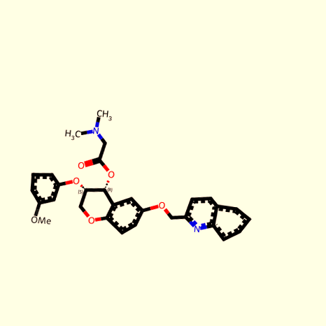 COc1cccc(O[C@H]2COc3ccc(OCc4ccc5ccccc5n4)cc3[C@H]2OC(=O)CN(C)C)c1